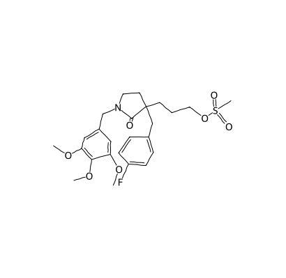 COc1cc(CN2CCC(CCCOS(C)(=O)=O)(Cc3ccc(F)cc3)C2=O)cc(OC)c1OC